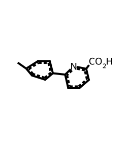 Cc1ccc(-c2cccc(C(=O)O)n2)cc1